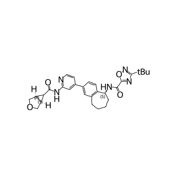 CC(C)(C)c1noc(C(=O)N[C@H]2CCCCc3cc(-c4ccnc(NC(=O)C5[C@H]6COC[C@@H]56)c4)ccc32)n1